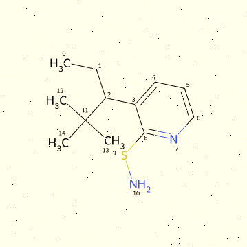 CCC(c1cccnc1SN)C(C)(C)C